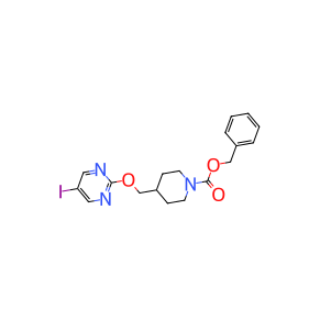 O=C(OCc1ccccc1)N1CCC(COc2ncc(I)cn2)CC1